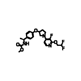 COC(=O)N[C@@H](C)c1ccc(OC2CCN(c3ccnc(OCC(F)F)c3F)C2)cc1